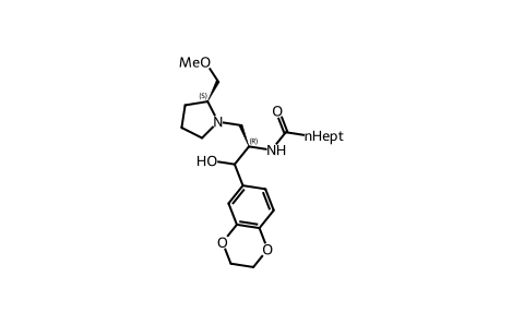 CCCCCCCC(=O)N[C@H](CN1CCC[C@H]1COC)C(O)c1ccc2c(c1)OCCO2